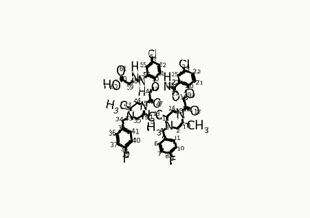 C[C@@H]1CN(Cc2ccc(F)cc2)[C@@H](C)CN1C(=O)COc1ccc(Cl)cc1C(N)=O.C[C@@H]1CN(Cc2ccc(F)cc2)[C@@H](C)CN1C(=O)COc1ccc(Cl)cc1NNCC(=O)O